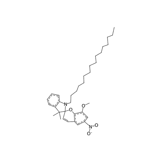 CCCCCCCCCCCCCCCCN1c2ccccc2C(C)(C)C12C=Cc1cc([N+](=O)[O-])cc(OC)c1O2